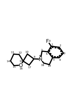 Fc1cccc2c1CN(C1CC3(CCCCO3)C1)CC2